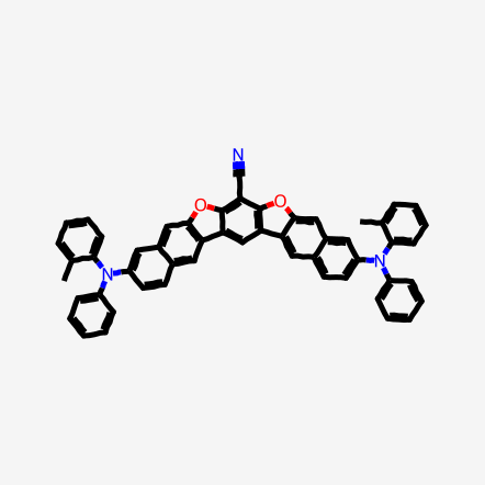 Cc1ccccc1N(c1ccccc1)c1ccc2cc3c(cc2c1)oc1c(C#N)c2oc4cc5cc(N(c6ccccc6)c6ccccc6C)ccc5cc4c2cc13